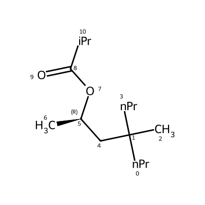 CCCC(C)(CCC)C[C@@H](C)OC(=O)C(C)C